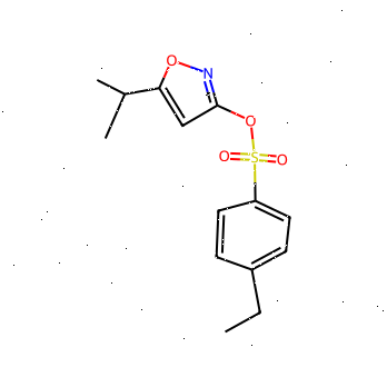 CCc1ccc(S(=O)(=O)Oc2cc(C(C)C)on2)cc1